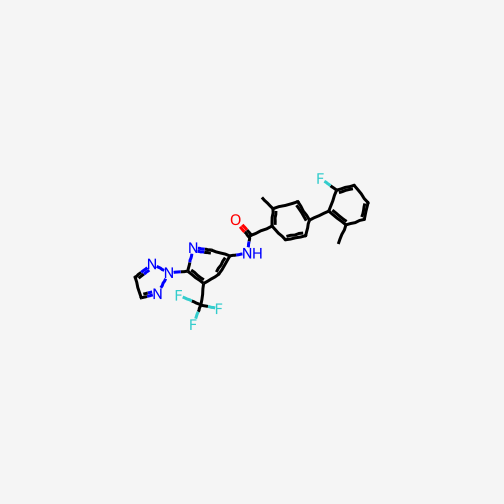 Cc1cc(-c2c(C)cccc2F)ccc1C(=O)Nc1cnc(-n2nccn2)c(C(F)(F)F)c1